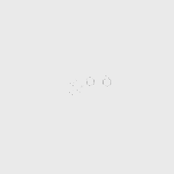 CCc1ccc(Cc2cccc([C@]3(C)CC(=O)N(C4CCOCC4)C(=N)N3)c2Cl)cn1